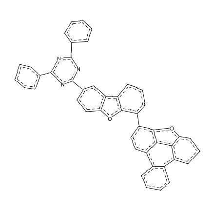 c1ccc(-c2nc(-c3ccccc3)nc(-c3ccc4oc5c(-c6ccc7c8ccccc8c8cccc9oc6c7c98)cccc5c4c3)n2)cc1